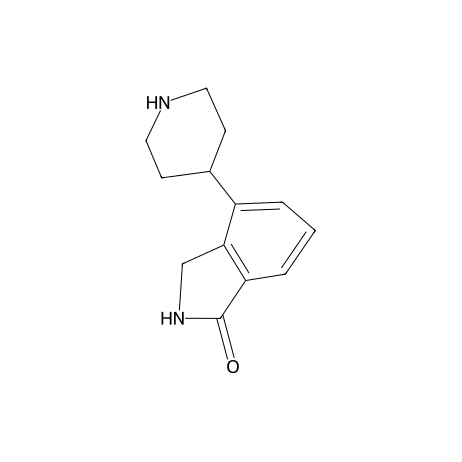 O=C1NCc2c1cccc2C1CCNCC1